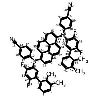 Cc1cccc(-c2cc(N(c3ccc(C#N)cc3)c3ccc4ccc5c(N(c6ccc(C#N)cc6)c6cc(-c7cccc(C)c7C)c(F)cc6F)ccc6ccc3c4c65)c(F)cc2F)c1C